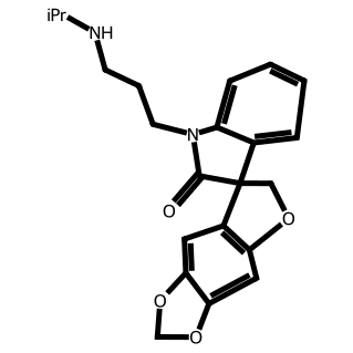 CC(C)NCCCN1C(=O)C2(COc3cc4c(cc32)OCO4)c2ccccc21